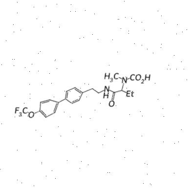 CCC(C(=O)NCCc1ccc(-c2ccc(OC(F)(F)F)cc2)cc1)N(C)C(=O)O